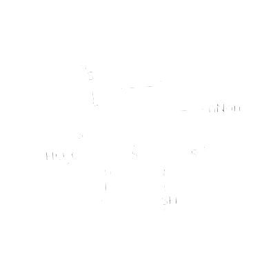 CC(SC(=S)S)C(=O)O.CCCCCCCCCCCC1SC1=S